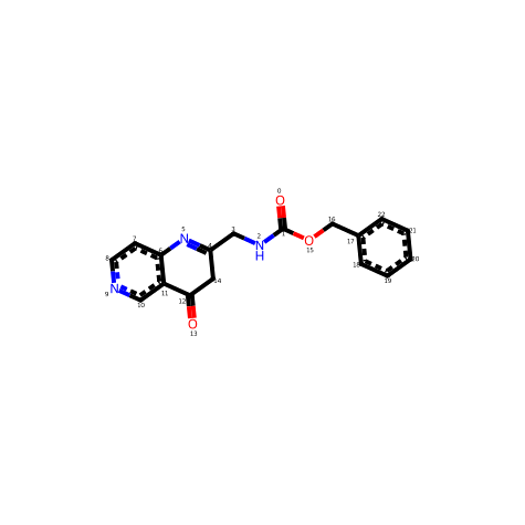 O=C(NCC1=Nc2ccncc2C(=O)C1)OCc1ccccc1